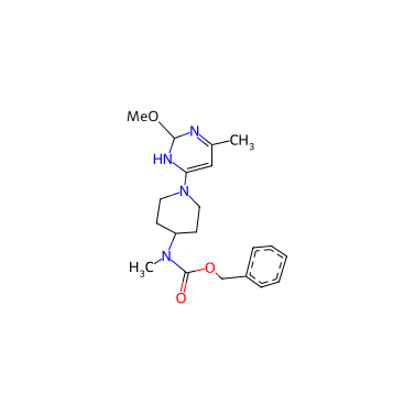 COC1N=C(C)C=C(N2CCC(N(C)C(=O)OCc3ccccc3)CC2)N1